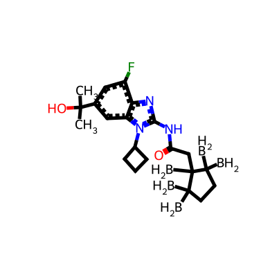 BC1(B)CCC(B)(B)C1(B)CC(=O)Nc1nc2c(F)cc(C(C)(C)O)cc2n1C1CCC1